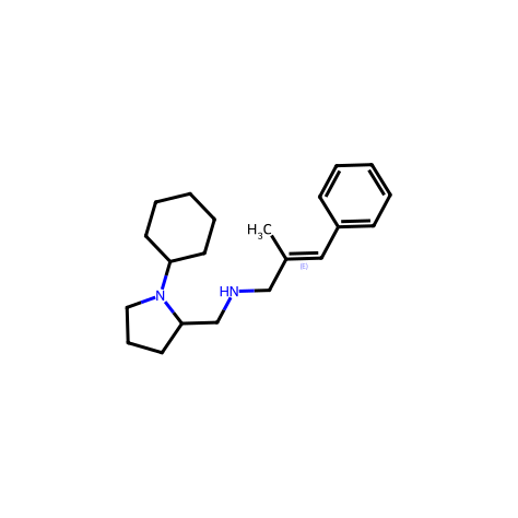 C/C(=C\c1ccccc1)CNCC1CCCN1C1CCCCC1